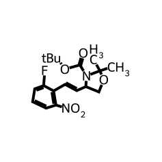 CC(C)(C)OC(=O)N1C(C=Cc2c(F)cccc2[N+](=O)[O-])COC1(C)C